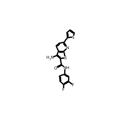 Nc1c(C(=O)Nc2ccc(F)c(F)c2)sc2nc(-c3cccs3)ccc12